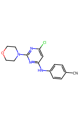 N#Cc1ccc(Nc2cc(Cl)nc(N3CCOCC3)n2)cc1